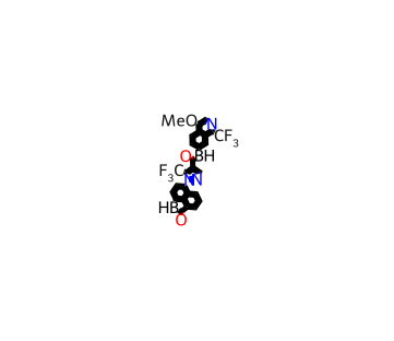 COc1cnc(C(F)(F)F)c2cc(BC(=O)c3cnn(-c4ccc5c6c(cccc46)C(=O)B5)c3C(F)(F)F)ccc12